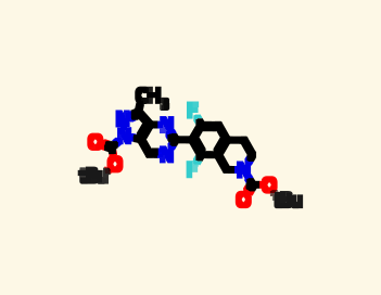 Cc1nn(C(=O)OC(C)(C)C)c2cnc(-c3c(F)cc4c(c3F)CN(C(=O)OC(C)(C)C)CC4)nc12